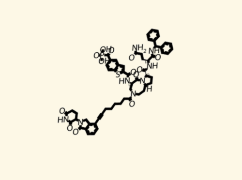 NC(=O)CC[C@H](NC(=O)[C@@H]1CC[C@@H]2CCN(C(=O)CCCCCC#Cc3cccc4c3CN(C3CCC(=O)NC3=O)C4=O)C[C@H](NC(=O)c3cc4cc(C(=O)P(=O)(O)O)ccc4s3)C(=O)N21)C(=O)NC(c1ccccc1)c1ccccc1